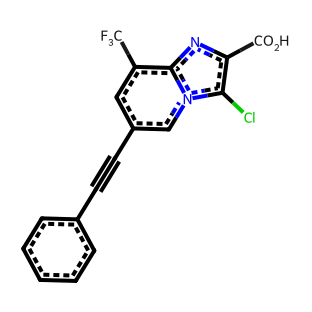 O=C(O)c1nc2c(C(F)(F)F)cc(C#Cc3ccccc3)cn2c1Cl